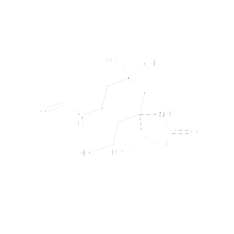 CCC1C(NC=O)CC(C)(C)C[C]1(NC=O)[Ti]([CH3])[CH3]